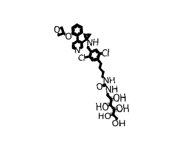 O=C(NCCCCc1cc(Cl)c(CNC2(c3cnccc3-c3ccccc3OC3COC3)CC2)cc1Cl)NC[C@H](O)[C@@H](O)[C@H](O)[C@H](O)CO